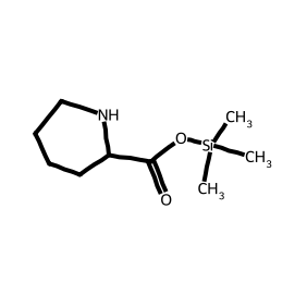 C[Si](C)(C)OC(=O)C1CCCCN1